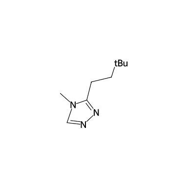 Cn1cnnc1CCC(C)(C)C